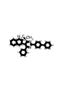 C[Si]1(C)c2cc3ccccc3cc2-c2c(-c3ccccc3)nc(-c3ccc(-c4ccccc4)cc3)nc21